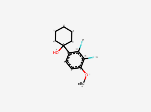 CCCCOc1ccc(C2(O)CCCCC2)c(F)c1F